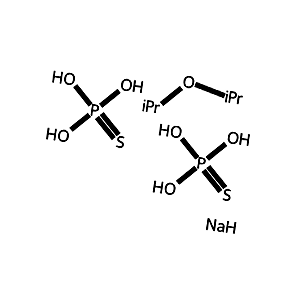 CC(C)OC(C)C.OP(O)(O)=S.OP(O)(O)=S.[NaH]